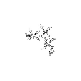 [O]=[Mo](=[O])([O-])[O-].[O]=[Mo](=[O])([O-])[O-].[O]=[Mo](=[O])([O-])[O-].[Rh+3].[Rh+3]